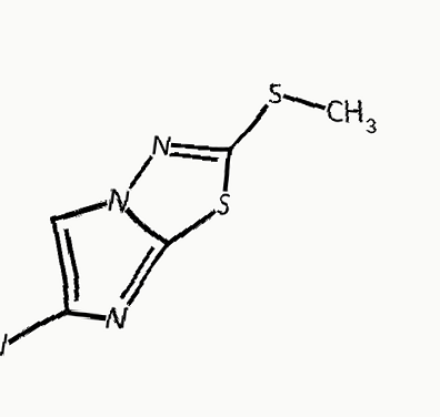 CSc1nn2cc(I)nc2s1